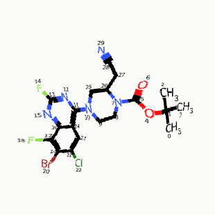 CC(C)(C)OC(=O)N1CCN(c2nc(F)nc3c(F)c(Br)c(Cl)cc23)CC1CC#N